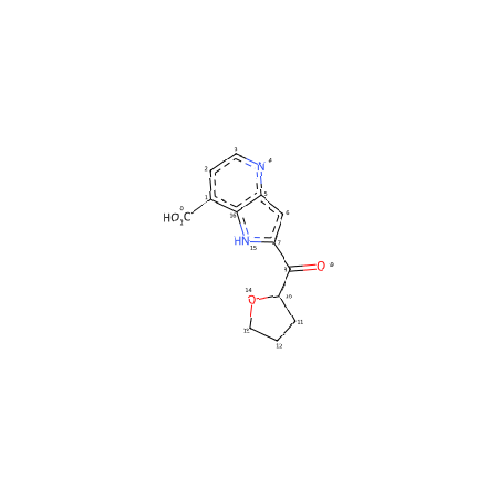 O=C(O)c1ccnc2cc(C(=O)C3CCCO3)[nH]c12